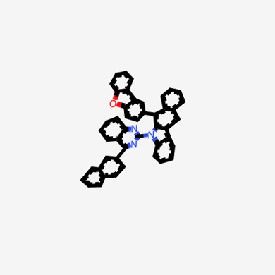 c1ccc2cc(-c3nc(-n4c5ccccc5c5cc6ccccc6c(-c6ccc7oc8ccccc8c7c6)c54)nc4ccccc34)ccc2c1